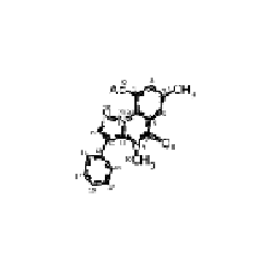 CC(=O)c1cc(C)cc2c(=O)n(C)c3c(-c4ccccc4)cnn3c12